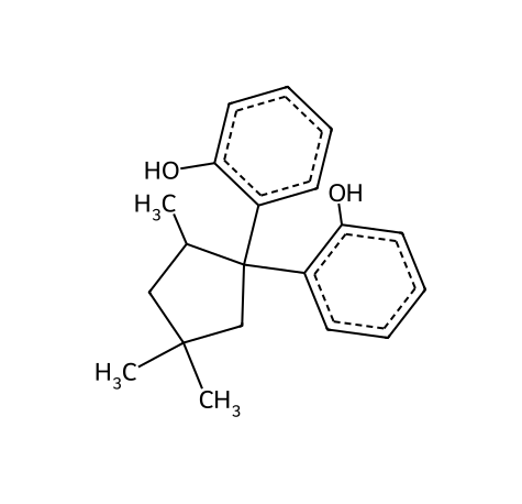 CC1CC(C)(C)CC1(c1ccccc1O)c1ccccc1O